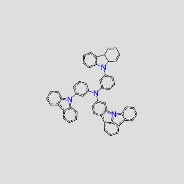 C1=CC2c3ccccc3N(c3cccc(N(c4cccc(-n5c6ccccc6c6ccccc65)c4)c4ccc5c6cccc7c8ccccc8n(c5c4)c76)c3)C2C=C1